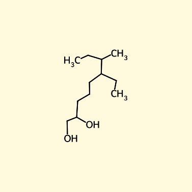 CCC(C)C(CC)CCCC(O)CO